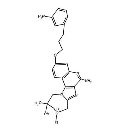 CCOCc1nc2c(N)nc3cc(OCCCc4cccc(N)c4)ccc3c2n1CC(C)(C)O